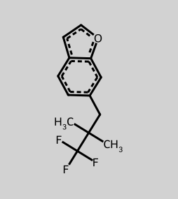 CC(C)(Cc1ccc2ccoc2c1)C(F)(F)F